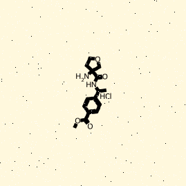 COC(=O)c1ccc(C(C)NC(=O)C2(N)CCOC2)cc1.Cl